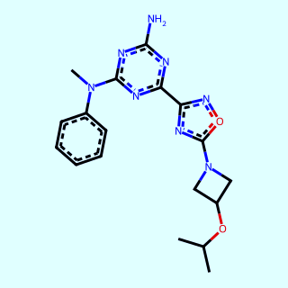 CC(C)OC1CN(c2nc(-c3nc(N)nc(N(C)c4ccccc4)n3)no2)C1